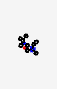 C1=C(c2ccccc2)c2ccccc2C2c3ccccc3N(c3cccc4c3oc3cccc(-c5nc(-c6ccccc6)nc(-c6ccc7ccccc7c6)n5)c34)C12